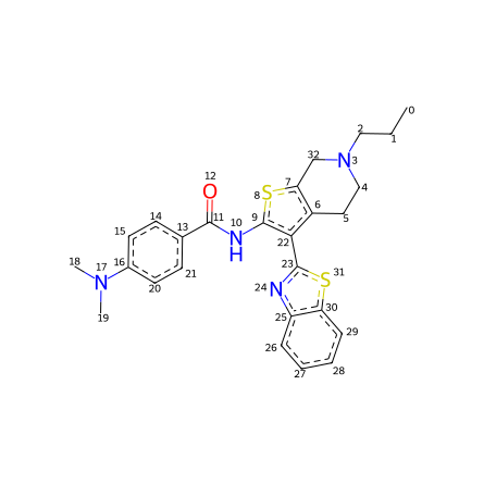 CCCN1CCc2c(sc(NC(=O)c3ccc(N(C)C)cc3)c2-c2nc3ccccc3s2)C1